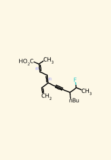 C=C/C(C#CC(CCCC)C(C)F)=C\C=C(/C)C(=O)O